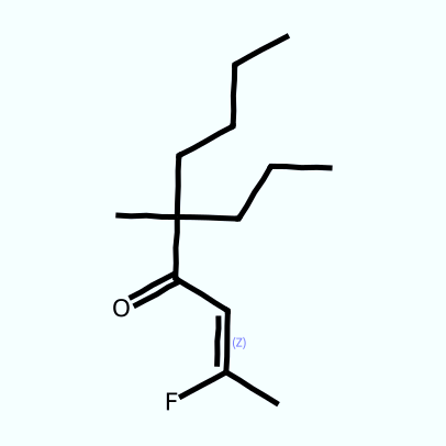 CCCCC(C)(CCC)C(=O)/C=C(/C)F